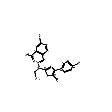 CCN(/N=C/c1ccc(F)cc1C(=O)O)c1nc(-c2ccc(Cl)cc2)c(F)s1